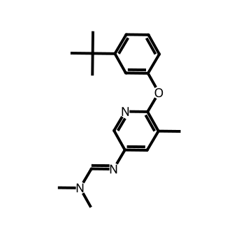 Cc1cc(/N=C/N(C)C)cnc1Oc1cccc(C(C)(C)C)c1